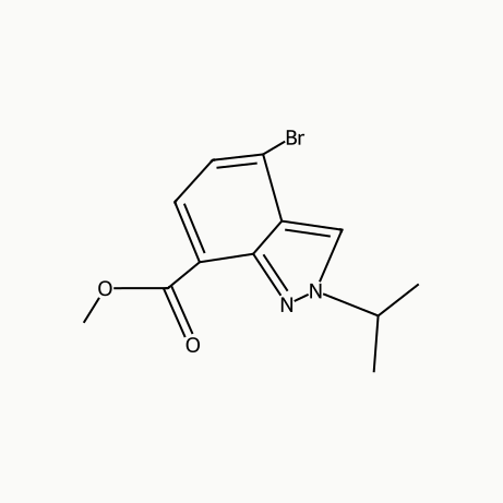 COC(=O)c1ccc(Br)c2cn(C(C)C)nc12